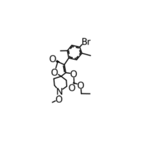 CCOC(=O)OC1=C(c2cc(C)c(Br)cc2C)C(=O)OC12CCN(OC)CC2